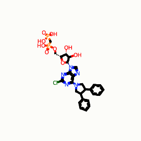 O=P(O)(O)CP(=O)(O)OC[C@H]1O[C@@H](n2cnc3c(N4CC(c5ccccc5)C(c5ccccc5)C4)nc(Cl)nc32)C(O)[C@H]1O